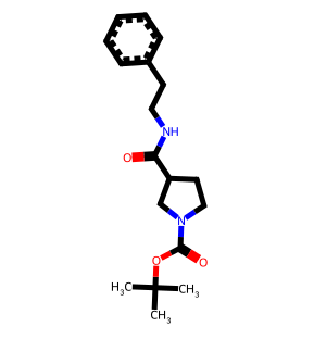 CC(C)(C)OC(=O)N1CCC(C(=O)NCCc2ccccc2)C1